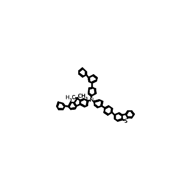 CC1(C)c2cc(-c3ccccc3)ccc2-c2ccc(N(c3ccc(-c4ccc(-c5ccc6sc7ccccc7c6c5)cc4)cc3)c3ccc(-c4cccc(-c5ccccc5)c4)cc3)cc21